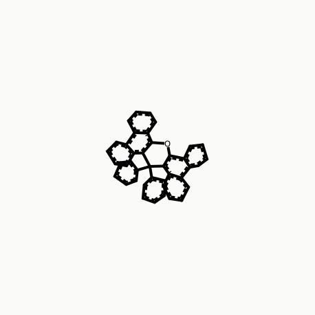 c1ccc(C2(c3ccccc3)c3c(c4ccccc4c4ccccc34)Oc3c2c2ccccc2c2ccccc32)cc1